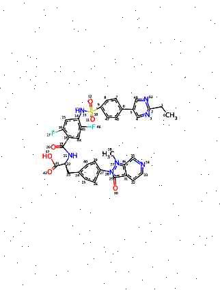 CCc1ncc(-c2ccc(S(=O)(=O)Nc3cc(F)c(C(=O)N[C@@H](Cc4ccc(-n5c(=O)c6ccncc6n5C)cc4)C(=O)O)cc3F)cc2)cn1